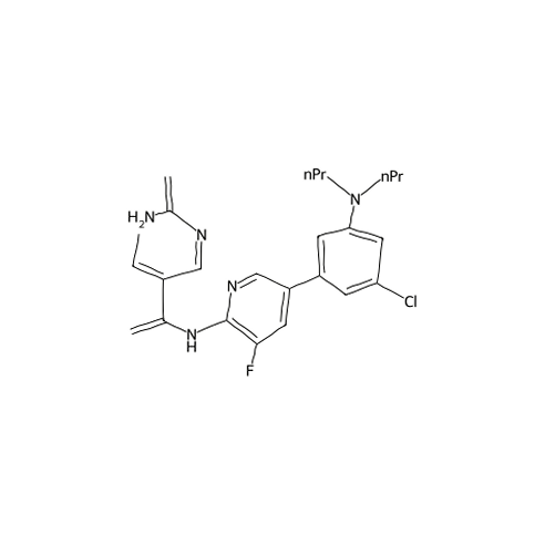 C=C(N)/N=C\C(=C/C)C(=C)Nc1ncc(-c2cc(Cl)cc(N(CCC)CCC)c2)cc1F